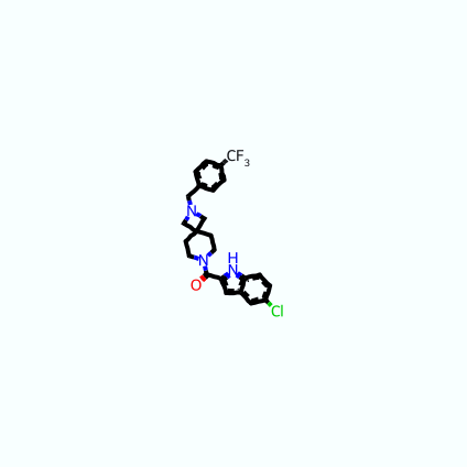 O=C(c1cc2cc(Cl)ccc2[nH]1)N1CCC2(CC1)CN(Cc1ccc(C(F)(F)F)cc1)C2